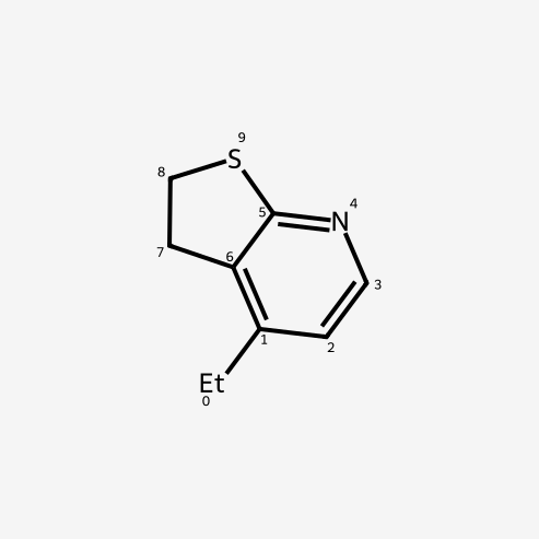 CCc1ccnc2c1CCS2